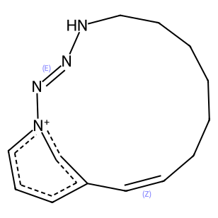 C1=C\c2ccc[n+](c2)/N=N/NCCCCCC/1